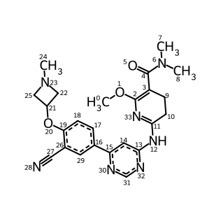 COC1=C(C(=O)N(C)C)CCC(Nc2cc(-c3ccc(OC4CN(C)C4)c(C#N)c3)ncn2)=N1